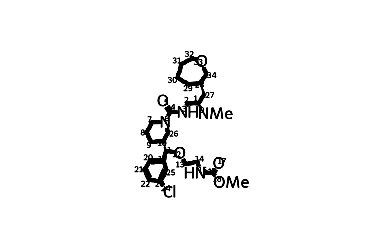 CN[C@@H](CNC(=O)N1CCC[C@@H](C(OCCNC(=O)OC)c2cccc(Cl)c2)C1)C[C@H]1CCCCOC1